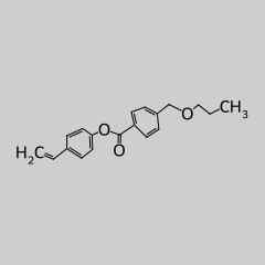 C=Cc1ccc(OC(=O)c2ccc(COCCC)cc2)cc1